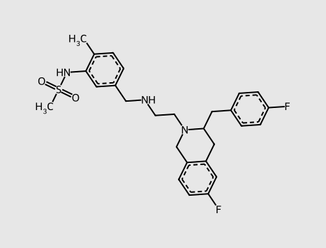 Cc1ccc(CNCCN2Cc3ccc(F)cc3CC2Cc2ccc(F)cc2)cc1NS(C)(=O)=O